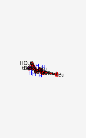 CC(C)(C)OC(=O)CCCCCCCCCCCCCCCCCCC(=O)N[C@@H](CCC(=O)N[C@@H](CCC(=O)N[C@@H](CCC(=O)N[C@@H](CCCCNC(=O)OC(C)(C)C)C(=O)NCCOCCOCC(=O)O)C(=O)OC(C)(C)C)C(=O)OC(C)(C)C)C(=O)OC(C)(C)C